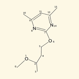 COC(C)CCOc1nc(C)[c]c(C)n1